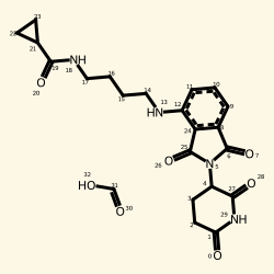 O=C1CCC(N2C(=O)c3cccc(NCCCCNC(=O)C4CC4)c3C2=O)C(=O)N1.O=CO